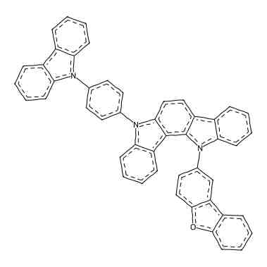 c1ccc2c(c1)oc1ccc(-n3c4ccccc4c4ccc5c(c6ccccc6n5-c5ccc(-n6c7ccccc7c7ccccc76)cc5)c43)cc12